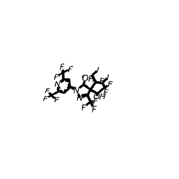 OC1N(c2cc(C(F)(F)F)nc(C(F)(F)F)c2)N=C(C(F)(F)F)C1(C(CI)CI)C(O)C(F)(F)F